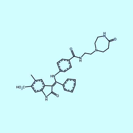 Cc1cc2c(cc1C(=O)O)NC(=O)/C2=C(/Nc1ccc(C(=O)NCCN2CCNC(=O)CC2)cc1)c1ccccc1